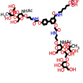 CC(=O)NC1C(OCCCNC(=O)COc2ccc(-c3cc(OCC(=O)NCCCOC4OC(CO)C(OC(OC(CO)[C@@H](C)O)[C@@H](O)COC5OC(CO)C(O)C(O)C5O)C(O)C4NC(C)=O)cc(C(=O)NCCCCCCOP(=O)(O)O)c3)cc2)OC(CO)C(OC(OCCO)/C(O)=C(/C)O)C1O